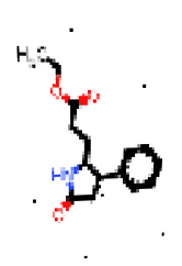 CCOC(=O)CCC1NC(=O)CC1c1ccccc1